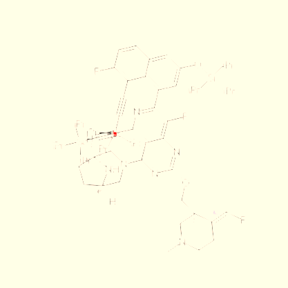 CC(C)[Si](C#Cc1c(F)ccc2cc(O[Si](C(C)C)(C(C)C)C(C)C)cc(-c3nc(C#C[Si](C(C)C)(C(C)C)C(C)C)c4c(N5C[C@H]6CC[C@@H](C5)N6)nc(OC[C@]5(C)CN(C)CC/C5=C\F)nc4c3F)c12)(C(C)C)C(C)C